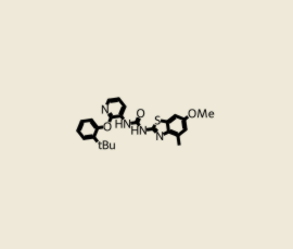 COc1cc(C)c2nc(NC(=O)Nc3cccnc3Oc3ccccc3C(C)(C)C)sc2c1